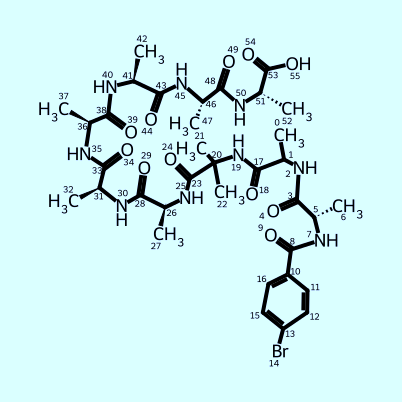 CC(NC(=O)[C@H](C)NC(=O)c1ccc(Br)cc1)C(=O)NC(C)(C)C(=O)N[C@@H](C)C(=O)N[C@@H](C)C(=O)N[C@@H](C)C(=O)N[C@@H](C)C(=O)N[C@@H](C)C(=O)N[C@@H](C)C(=O)O